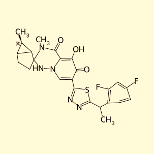 CC(c1nnc(-c2cn3c(c(O)c2=O)C(=O)N(C)C2(CCC4C2[C@@H]4C)N3)s1)c1ccc(F)cc1F